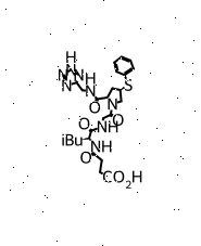 CC[C@H](C)[C@H](NC(=O)CCC(=O)O)C(=O)NCC(=O)N1C[C@H](Sc2ccccc2)CC1C(=O)NCc1nn[nH]n1